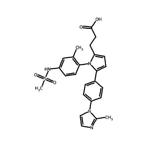 Cc1cc(NS(C)(=O)=O)ccc1-n1c(CCC(=O)O)ccc1-c1ccc(-n2ccnc2C)cc1